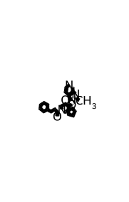 Cc1nc2cnccc2c(=O)n1OC1CCN(C(=O)CCC2CCCCC2)CC12CCCC2